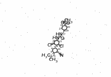 CC(C)Cc1ccc(-c2c(Cl)cc(NC(=O)NCc3ccc(S(C)(=O)=O)cc3)cc2Cl)cc1C#N